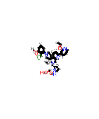 CCOc1ncccc1-c1ccc2c(n1)CN(C[C@H]1CCCN1)C[C@]21CCN(c2cccc(OC)c2Cl)C[C@H]1CC.O=CO